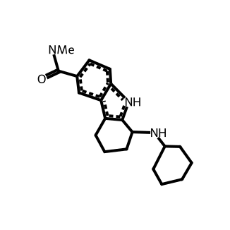 CNC(=O)c1ccc2[nH]c3c(c2c1)CCCC3NC1CCCCC1